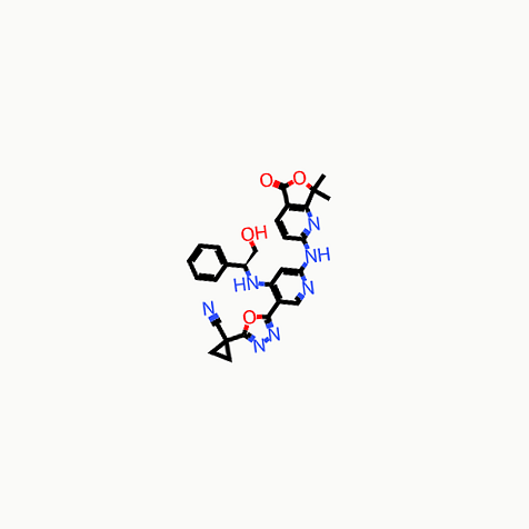 CC1(C)OC(=O)c2ccc(Nc3cc(N[C@H](CO)c4ccccc4)c(-c4nnc(C5(C#N)CC5)o4)cn3)nc21